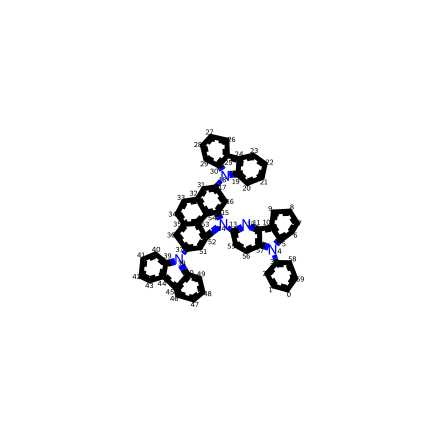 c1ccc(-n2c3ccccc3c3nc(-n4c5cc(-n6c7ccccc7c7ccccc76)cc6ccc7cc(-n8c9ccccc9c9ccccc98)cc4c7c65)ccc32)cc1